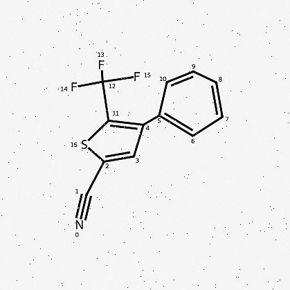 N#Cc1cc(-c2ccccc2)c(C(F)(F)F)s1